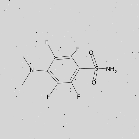 CN(C)c1c(F)c(F)c(S(N)(=O)=O)c(F)c1F